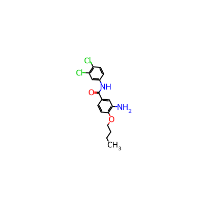 CCCCOc1ccc(C(=O)Nc2ccc(Cl)c(Cl)c2)cc1N